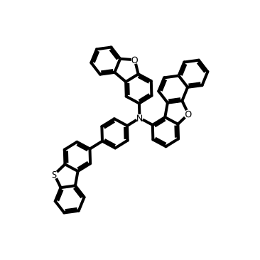 c1ccc2c(c1)ccc1c2oc2cccc(N(c3ccc(-c4ccc5sc6ccccc6c5c4)cc3)c3ccc4oc5ccccc5c4c3)c21